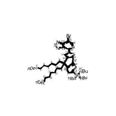 CCCCCCCCCCCCCCCCC1(CCCCCCCCCCCCCCCC)c2cc(-c3ncc(Br)c4nsnc34)sc2-c2s[c]([Sn]([CH2]CCC)([CH2]CCC)[CH2]CCC)cc21